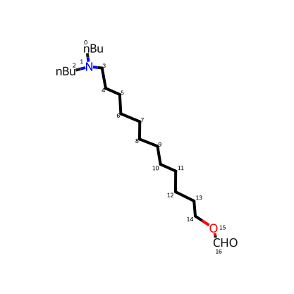 CCCCN(CCCC)CCCCCCCCCCCCOC=O